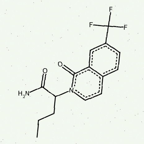 CCCC(C(N)=O)n1ccc2ccc(C(F)(F)F)cc2c1=O